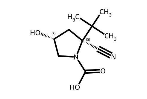 CC(C)(C)[C@]1(C#N)C[C@@H](O)CN1C(=O)O